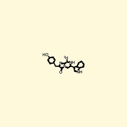 [2H]c1[nH]c(-c2c[nH]c3ccccc23)cn2c(=O)c(Cc3ccc(O)cc3)nc1-2